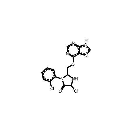 O=C1C(Cl)NC(CSc2ncnc3[nH]cnc23)N1c1ccccc1Cl